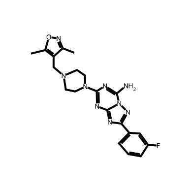 Cc1noc(C)c1CN1CCN(c2nc(N)n3nc(-c4cccc(F)c4)nc3n2)CC1